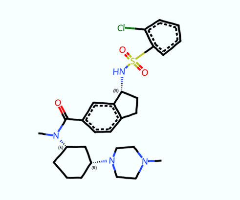 CN1CCN([C@@H]2CCC[C@H](N(C)C(=O)c3ccc4c(c3)[C@H](NS(=O)(=O)c3ccccc3Cl)CC4)C2)CC1